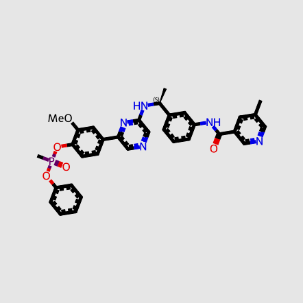 COc1cc(-c2cncc(N[C@@H](C)c3cccc(NC(=O)c4cncc(C)c4)c3)n2)ccc1OP(C)(=O)Oc1ccccc1